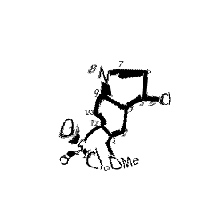 COc1cc2c(Cl)ccnc2cc1S(=O)(=O)Cl